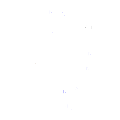 CC(c1ccc(N=NN)nn1)c1nnc2ccc(Br)cn12